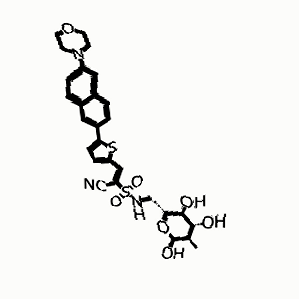 C[C@H]1C(O)O[C@H](CNS(=O)(=O)/C(C#N)=C/c2ccc(-c3ccc4cc(N5CCOCC5)ccc4c3)s2)[C@@H](O)[C@@H]1O